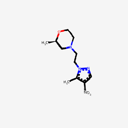 Cc1c([N+](=O)[O-])cnn1CCN1CCO[C@H](C)C1